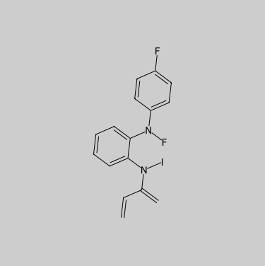 C=CC(=C)N(I)c1ccccc1N(F)c1ccc(F)cc1